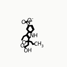 CCCC1(CC(=O)O)OCCc2c1[nH]c1ccc([N+](=O)[O-])cc21